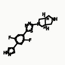 Fc1cc(-c2nnc(N3C[C@H]4CNC[C@H]4C3)s2)c(F)cc1-c1cn[nH]c1